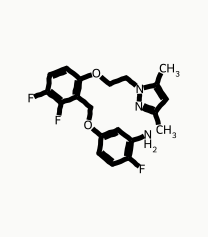 Cc1cc(C)n(CCOc2ccc(F)c(F)c2COc2ccc(F)c(N)c2)n1